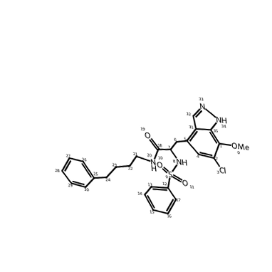 COc1c(Cl)cc(CC(NS(=O)(=O)c2ccccc2)C(=O)NCCCCc2ccccc2)c2cn[nH]c12